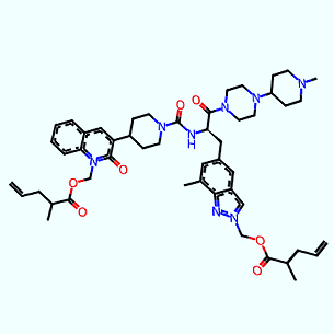 C=CCC(C)C(=O)OCn1cc2cc(C[C@@H](NC(=O)N3CCC(c4cc5ccccc5n(COC(=O)C(C)CC=C)c4=O)CC3)C(=O)N3CCN(C4CCN(C)CC4)CC3)cc(C)c2n1